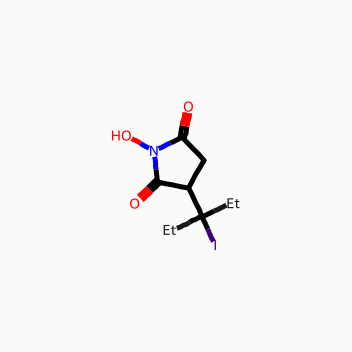 CCC(I)(CC)C1CC(=O)N(O)C1=O